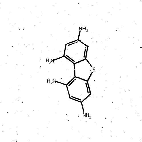 Nc1cc(N)c2c(c1)sc1cc(N)cc(N)c12